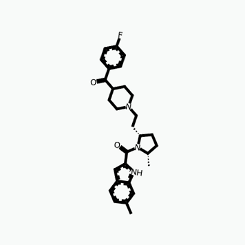 Cc1ccc2cc(C(=O)N3[C@H](CCN4CCC(C(=O)c5ccc(F)cc5)CC4)CC[C@@H]3C)[nH]c2c1